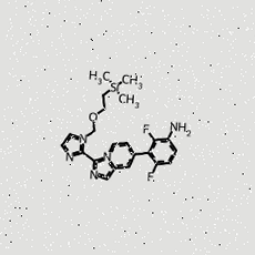 C[Si](C)(C)CCOCn1ccnc1-c1ncc2cc(-c3c(F)ccc(N)c3F)ccn12